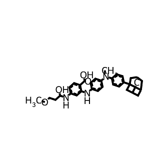 COCCC(O)Nc1ccc(C(=O)O)c(Nc2ccc(N(C)c3ccc(C45CC6CC7CC(C4)C75C6)cc3)cc2)c1